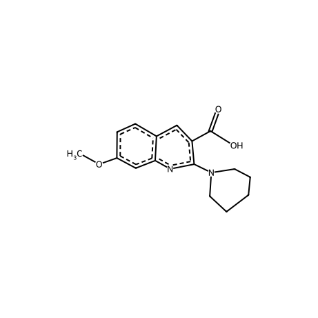 COc1ccc2cc(C(=O)O)c(N3CCCCC3)nc2c1